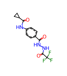 O=C(NNC(=O)C(F)(F)F)c1ccc(NC(=O)C2CC2)cc1